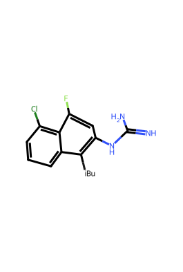 CCC(C)c1c(NC(=N)N)cc(F)c2c(Cl)cccc12